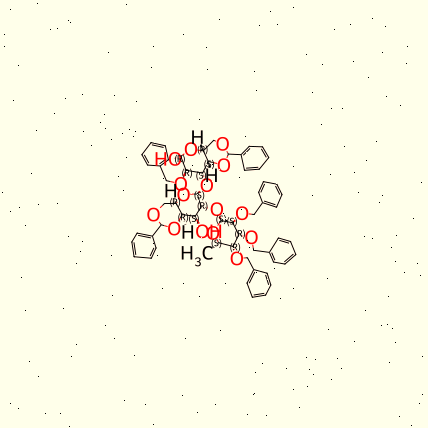 C[C@@H]1O[C@@H](O[C@H]2[C@H](O[C@@H]3[C@@H](OCc4ccccc4)[C@H](O)O[C@@H]4COC(c5ccccc5)O[C@H]34)O[C@@H]3COC(c4ccccc4)O[C@@H]3[C@@H]2O)[C@@H](OCc2ccccc2)[C@H](OCc2ccccc2)[C@@H]1OCc1ccccc1